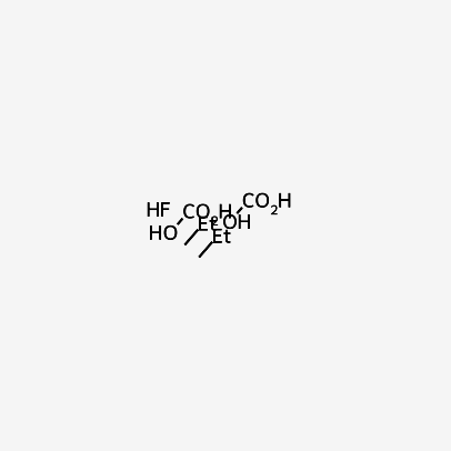 CCC.CCC.F.O=C(O)O.O=C(O)O